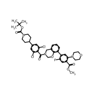 COC(=O)c1cc(F)c(-c2cccc3c2OCN(C(=O)c2c(Cl)cc(C4CCN(C(=O)OC(C)(C)C)CC4)cc2Cl)C3)cc1N1CCOCC1